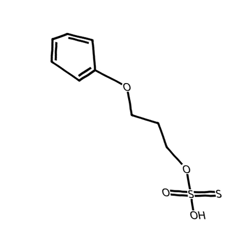 O=S(O)(=S)OCCCOc1ccccc1